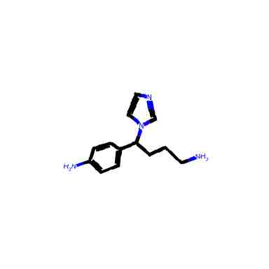 NCCCC(c1ccc(N)cc1)n1ccnc1